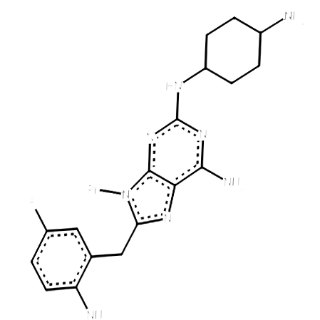 CC(C)n1c(Cc2cc(F)ccc2N)nc2c(N)nc(NC3CCC(N)CC3)nc21